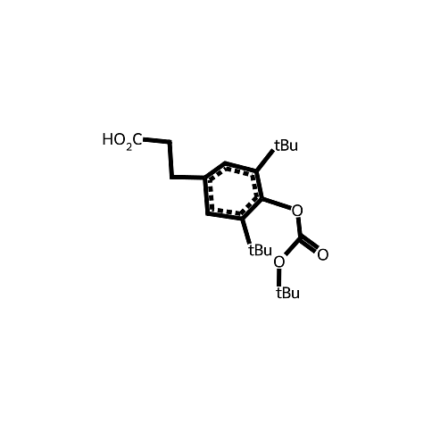 CC(C)(C)OC(=O)Oc1c(C(C)(C)C)cc(CCC(=O)O)cc1C(C)(C)C